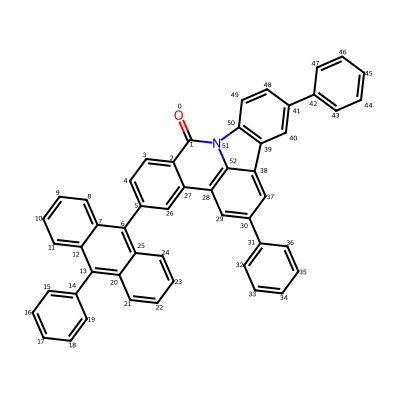 O=c1c2ccc(-c3c4ccccc4c(-c4ccccc4)c4ccccc34)cc2c2cc(-c3ccccc3)cc3c4cc(-c5ccccc5)ccc4n1c23